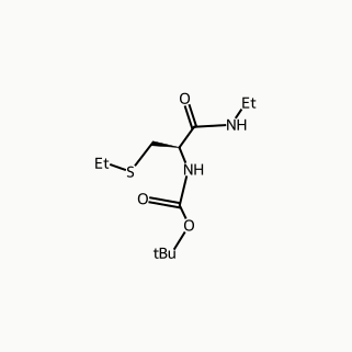 CCNC(=O)[C@H](CSCC)NC(=O)OC(C)(C)C